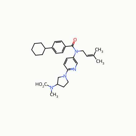 CC(C)=CCN(C(=O)c1ccc(C2CCCCC2)cc1)c1ccc(N2CCC(N(C)C(=O)O)C2)nc1